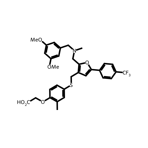 COc1cc(CN(C)Cc2oc(-c3ccc(C(F)(F)F)cc3)cc2CSc2ccc(OCC(=O)O)c(C)c2)cc(OC)c1